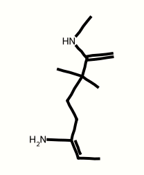 C=C(NC)C(C)(C)CC/C(N)=C\C